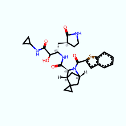 O=C(NC1CC1)C(O)[C@H](C[C@@H]1CCNC1=O)NC(=O)[C@@H]1[C@@H]2C[C@@H](CC23CC3)N1C(=O)c1cc2ccccc2s1